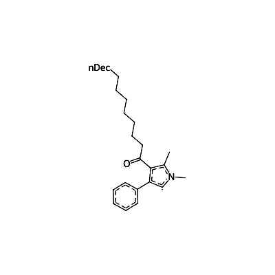 CCCCCCCCCCCCCCCCCC(=O)c1c(-c2ccccc2)[c]n(C)c1C